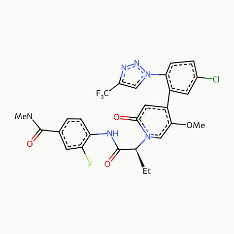 CC[C@@H](C(=O)Nc1ccc(C(=O)NC)cc1F)n1cc(OC)c(-c2cc(Cl)ccc2-n2cc(C(F)(F)F)nn2)cc1=O